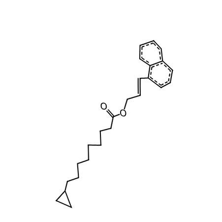 O=C(CCCCCCCCC1CC1)OC/C=C/c1cccc2ccccc12